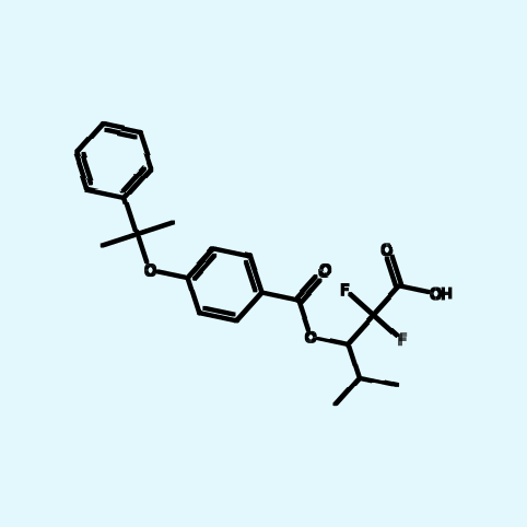 CC(C)C(OC(=O)c1ccc(OC(C)(C)c2ccccc2)cc1)C(F)(F)C(=O)O